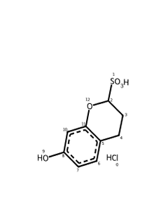 Cl.O=S(=O)(O)C1CCc2ccc(O)cc2O1